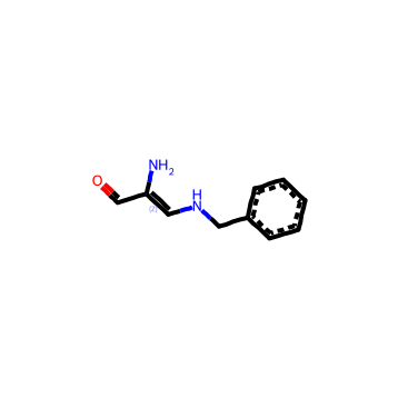 N/C(C=O)=C\NCc1ccccc1